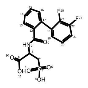 O=C(NC(CS(=O)(=O)O)C(=O)O)c1ccccc1-c1cccc(F)c1F